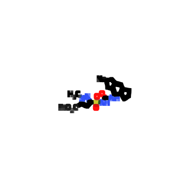 CCOC(=O)c1cc(S(=O)(=O)NC(=O)Nc2c3c(cc4c2CCC4)CCC3)nn1C.[Na]